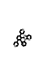 N#Cc1c(-c2ccncc2)ccc(-c2ccncc2)c1-c1nc2cccnc2n1-c1ccccc1